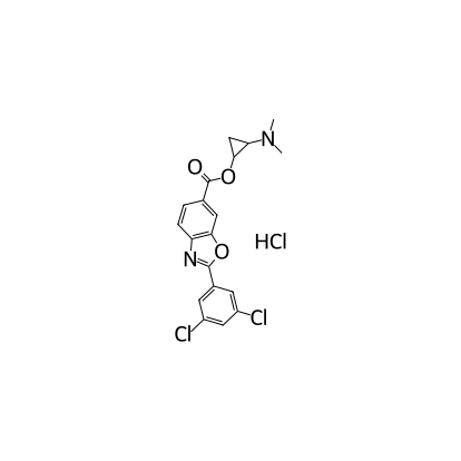 CN(C)C1CC1OC(=O)c1ccc2nc(-c3cc(Cl)cc(Cl)c3)oc2c1.Cl